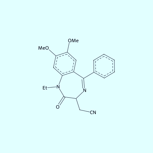 CCN1C(=O)C(CC#N)N=C(c2ccccc2)c2cc(OC)c(OC)cc21